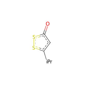 CC(C)c1cc(=O)ss1